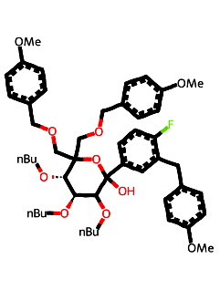 CCCCOC1[C@@H](OCCCC)[C@H](OCCCC)C(COCc2ccc(OC)cc2)(COCc2ccc(OC)cc2)OC1(O)c1ccc(F)c(Cc2ccc(OC)cc2)c1